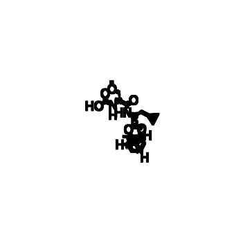 COC[C@@H](NC(=O)O)C(=O)N[C@@H](CC1CC1)B1O[C@@H]2C[C@@H]3C[C@@H](C3(C)C)[C@]2(C)O1